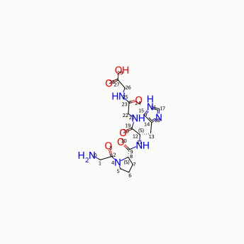 NCC(=O)N1CCC[C@H]1C(=O)N[C@@H](Cc1c[nH]cn1)C(=O)NCC(=O)NCC(=O)O